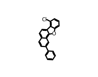 Clc1cccc2oc3c4cc(-c5ccccc5)ccc4ccc3c12